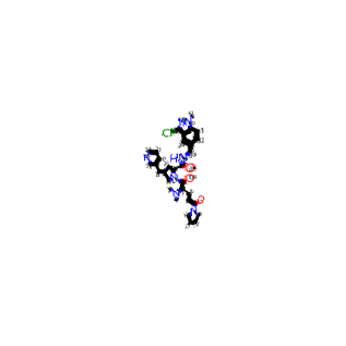 CN(C)[C@H](CCC(=O)N1CCCC1)C(=O)N1CC(Cc2cccnc2)C[C@H]1C(=O)NCc1ccc2c(c1)c(Cl)nn2C